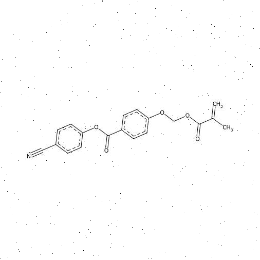 C=C(C)C(=O)OCOc1ccc(C(=O)Oc2ccc(C#N)cc2)cc1